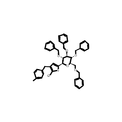 Cc1ccc(Cc2cc([C@@H]3O[C@H](COCc4ccccc4)[C@@H](OCc4ccccc4)[C@H](OCc4ccccc4)[C@H]3OCc3ccccc3)sc2Cl)cc1